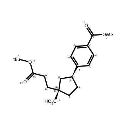 COC(=O)c1ccc([C@H]2CC[C@@](CCC(=O)OC(C)(C)C)(C(=O)O)C2)cc1